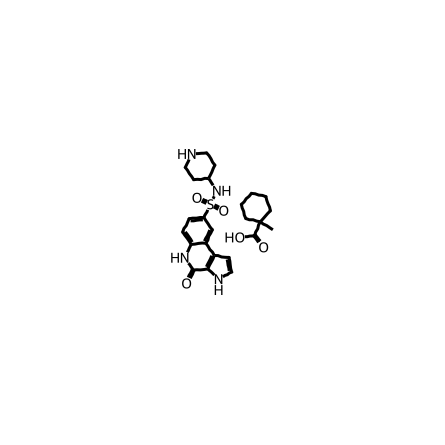 CC1(C(=O)O)CCCCC1.O=c1[nH]c2ccc(S(=O)(=O)NC3CCNCC3)cc2c2cc[nH]c12